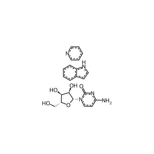 Nc1ccn([C@@H]2O[C@H](CO)[C@@H](O)[C@H]2O)c(=O)n1.c1ccc2[nH]ccc2c1.c1ccncc1